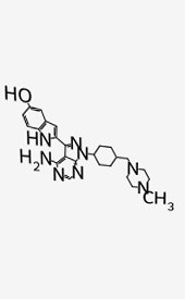 CN1CCN(CC2CCC(n3nc(-c4cc5cc(O)ccc5[nH]4)c4c(N)ncnc43)CC2)CC1